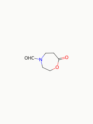 O=CN1CCOC(=O)CC1